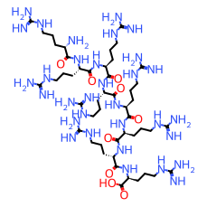 N=C(N)NCCC[C@H](NC(=O)[C@H](CCCNC(=N)N)NC(=O)[C@H](CCCNC(=N)N)NC(=O)[C@H](CCCNC(=N)N)NC(=O)[C@H](CCCNC(=N)N)NC(=O)[C@H](CCCNC(=N)N)NC(=O)[C@H](CCCNC(=N)N)NC(=O)[C@@H](N)CCCNC(=N)N)C(=O)O